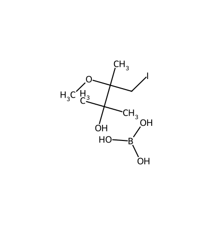 COC(C)(CI)C(C)(C)O.OB(O)O